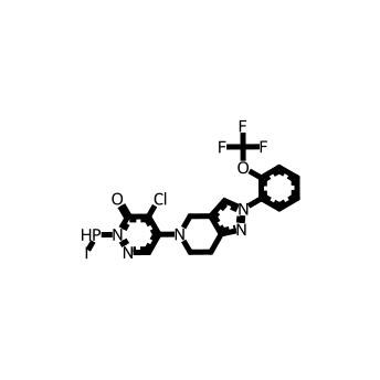 O=c1c(Cl)c(N2CCc3nn(-c4ccccc4OC(F)(F)F)cc3C2)cnn1PI